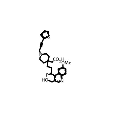 COc1ccc2ncc(CO)c(C(F)CCC3(CC(=O)O)CCN(CC#Cc4cccs4)CC3)c2c1